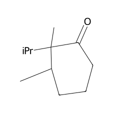 CC(C)C1(C)C(=O)CCCC1C